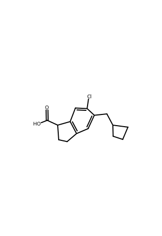 O=C(O)C1CCc2cc(CC3CCC3)c(Cl)cc21